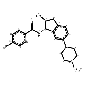 O=C(N[C@H]1c2cc(N3CCN(C(=O)O)CC3)ccc2C[C@@H]1O)c1ccc(F)cc1